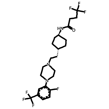 O=C(CCC(F)(F)F)N[C@H]1CC[C@H](CCN2CCN(c3cc(C(F)(F)F)ccc3F)CC2)CC1